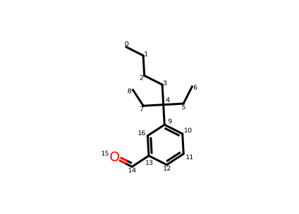 CCCCC(CC)(CC)c1cccc(C=O)c1